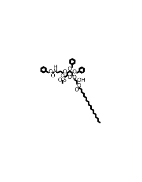 CCCCCCCCCCCCCCCCCC(=O)OCC(O)COC1OC(CSC(C)=O)C(OC(=O)CCNC(=O)OCc2ccccc2)C(OCc2ccccc2)C1OCc1ccccc1